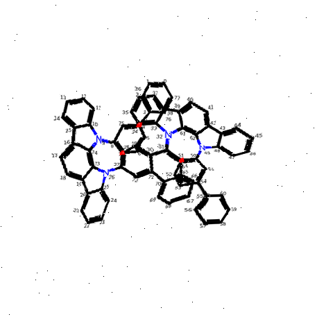 c1ccc(-c2cccc(-n3c4ccccc4c4ccc5c6ccccc6n(-c6ccc7c(-n8c9ccccc9c9ccc%10c%11ccccc%11n(-c%11cccc(-c%12ccccc%12)c%11)c%10c98)cc8ccccc8c7c6)c5c43)c2)cc1